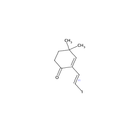 CC1(C)C=C(/C=C/I)C(=O)CC1